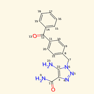 NC(=O)c1nnn(Cc2ccc(C(=O)c3ccccc3)cc2)c1N